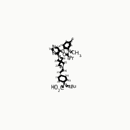 CC(C)C(=O)N(C)c1cc(F)ccc1Oc1cncnc1N1CC2(CN(CC[C@H]3CC[C@H](N(C(=O)O)C(C)(C)C)CC3)C2)C1